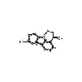 O=C1CCn2c3ccc(Br)cc3c3cccc1c32